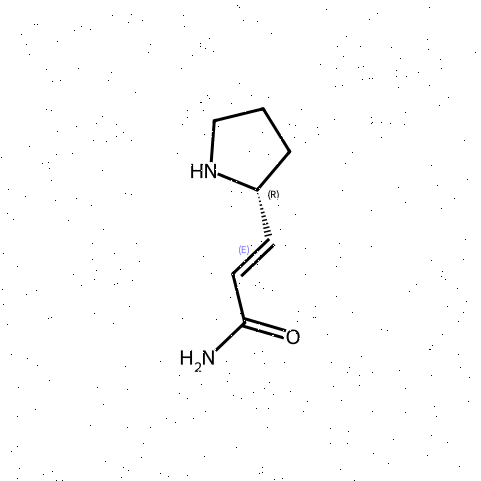 NC(=O)/C=C/[C@H]1CCCN1